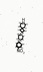 O=[N+]([O-])c1ccc(N2CCN(C3CC4(CCNCC4)C3)CC2)cc1